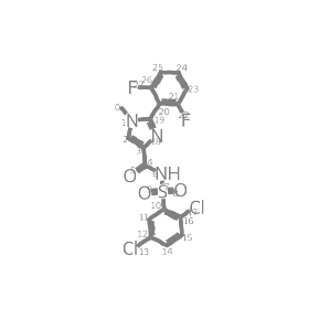 Cn1cc(C(=O)NS(=O)(=O)c2cc(Cl)ccc2Cl)nc1-c1c(F)cccc1F